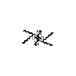 CCCCCCCCC(CCCCCC)CN1C(=O)C2=C(c3nccs3)N(CC(CCCCCC)CCCCCCCC)C(=O)C2=C1c1nccs1